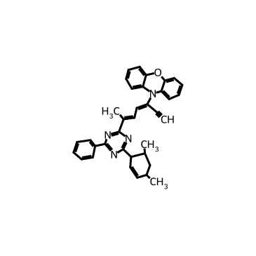 C#C/C(=C\C=C(/C)c1nc(-c2ccccc2)nc(C2C=CC(C)CC2C)n1)N1c2ccccc2Oc2ccccc21